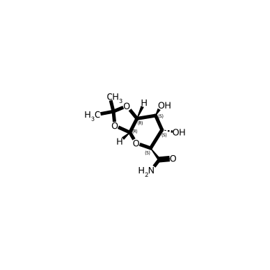 CC1(C)O[C@H]2O[C@H](C(N)=O)[C@@H](O)[C@H](O)[C@H]2O1